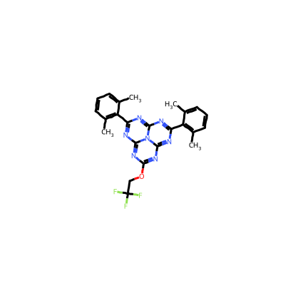 Cc1cccc(C)c1C1=NC2=NC(OCC(F)(F)F)=NC3=NC(c4c(C)cccc4C)=NC(=N1)N23